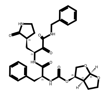 O=C(N[C@@H](Cc1ccccc1)C(=O)N[C@@H](C[C@@H]1CCNC1=O)C(=O)C(=O)NCc1ccccc1)O[C@H]1CO[C@H]2OCC[C@H]21